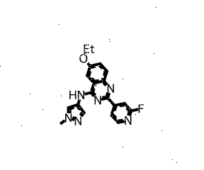 CCOc1ccc2nc(-c3ccnc(F)c3)nc(Nc3cnn(C)c3)c2c1